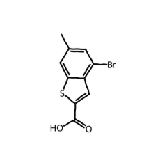 Cc1cc(Br)c2cc(C(=O)O)sc2c1